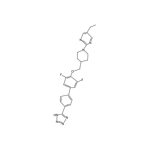 CCc1cnc(N2CCC(COc3c(F)cc(-c4ccc(-c5nnn[nH]5)cc4)cc3F)CC2)nc1